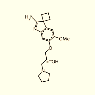 COc1cc2c(cc1OC[C@H](O)CN1CCCC1)N=C(N)C21CCC1